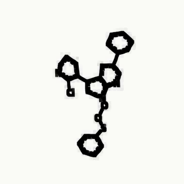 Clc1ncccc1-c1cn(OOSc2ccccc2)c2ncc(-c3ccccc3)cc12